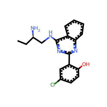 CC[C@@H](N)CNc1nc(-c2cc(Cl)ccc2O)nc2ccccc12